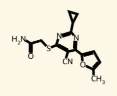 Cc1ccc(-c2nc(C3CC3)nc(SCC(N)=O)c2C#N)o1